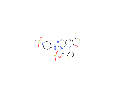 CS(=O)(=O)OCc1sccc1-n1c(=O)c(C(F)F)cc2cnc(NC3CCN(S(C)(=O)=O)CC3)nc21